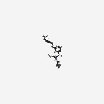 NCC#CCSc1nccc(N/C(N)=N\CC(F)(F)F)n1